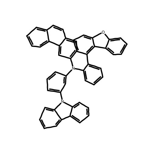 c1cc(N(c2ccc3ccc4ccccc4c3c2)c2ccccc2-c2cccc3oc4ccccc4c23)cc(-n2c3ccccc3c3ccccc32)c1